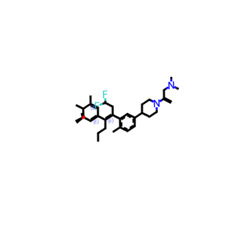 C=C(C)/C=C(\C=C(\C)C(C)CC)C(/CCC)=C(\CC(F)F)c1cc(C2CCN(C(=C)CN(C)C)CC2)ccc1C